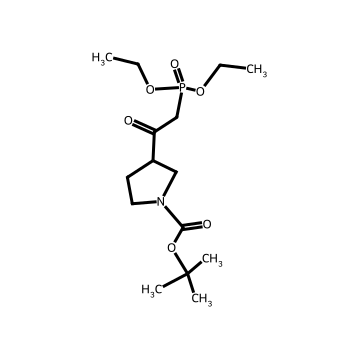 CCOP(=O)(CC(=O)C1CCN(C(=O)OC(C)(C)C)C1)OCC